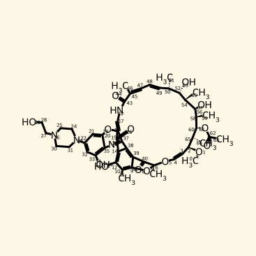 CO[C@H]1/C=C/O[C@@]2(C)Oc3c(C)c(O)c4c(=O)c(c5oc6cc(N7CCN(CCO)CC7)cc(O)c6nc-5c4c3C2=O)NC(=O)/C(C)=C\C=C\[C@H](C)[C@H](O)[C@@H](C)[C@@H](O)[C@@H](C)[C@H](OC(C)=O)[C@@H]1C